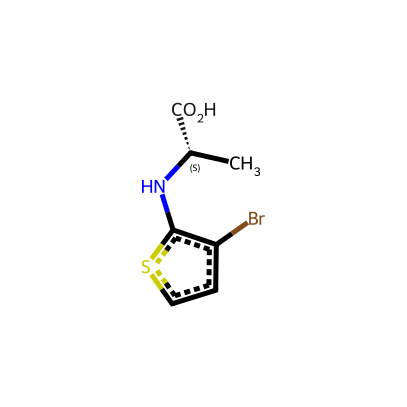 C[C@H](Nc1sccc1Br)C(=O)O